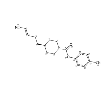 N#CC=CCC[C@H]1CC[C@H](C(=O)Oc2ccc(C#N)cc2)CC1